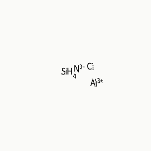 [Al+3].[C].[N-3].[SiH4]